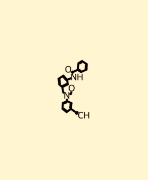 C#Cc1cccc(N2COc3c(cccc3NC(=O)c3ccccc3)C2)c1